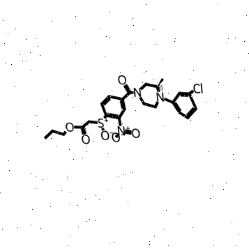 CCCOC(=O)C[S+]([O-])c1ccc(C(=O)N2CCN(c3cccc(Cl)c3)[C@H](C)C2)cc1[N+](=O)[O-]